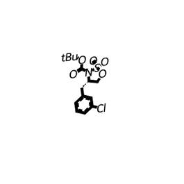 CC(C)(C)OC(=O)N1[C@@H](Cc2cccc(Cl)c2)COS1(=O)=O